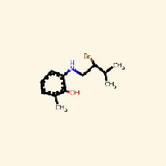 Cc1cccc(NCC(Br)C(C)C)c1O